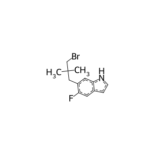 CC(C)(CBr)Cc1cc2[nH]ccc2cc1F